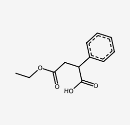 CCOC(=O)CC(C(=O)O)c1ccccc1